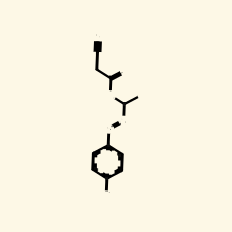 CC(N=Nc1ccc(Cl)cc1)OC(=O)CC#N